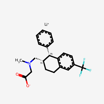 CN(CC(=O)[O-])C[C@H]1CCc2cc(C(F)(F)F)ccc2[C@H]1c1ccccc1.[Li+]